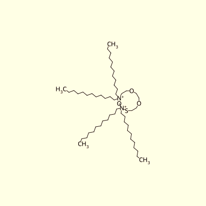 CCCCCCCCCCCC[N+]1(CCCCCCCCCCCC)CCOCCOCCS[N+](CCCCCCCCCCCC)(CCCCCCCCCCCC)O1